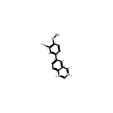 CCOc1ccc(-c2ccc3ncn[c]c3c2)cc1F